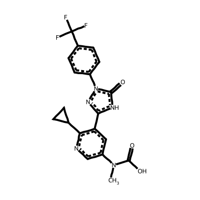 CN(C(=O)O)c1cnc(C2CC2)c(-c2nn(-c3ccc(C(F)(F)F)cc3)c(=O)[nH]2)c1